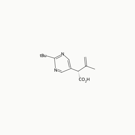 C=C(C)[C@H](C(=O)O)c1cnc(C(C)(C)C)nc1